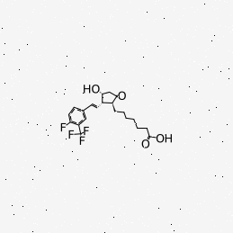 O=C(O)CCCCCC[C@@H]1C(=O)C[C@@H](O)[C@H]1C=Cc1ccc(F)c(C(F)(F)F)c1